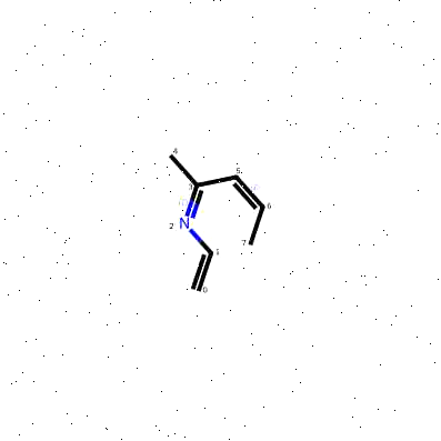 C=C/N=C(C)\C=C/C